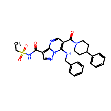 CCS(=O)(=O)NC(=O)c1cnn2c(NCc3ccccc3)c(C(=O)N3CCC(c4ccccc4)CC3)cnc12